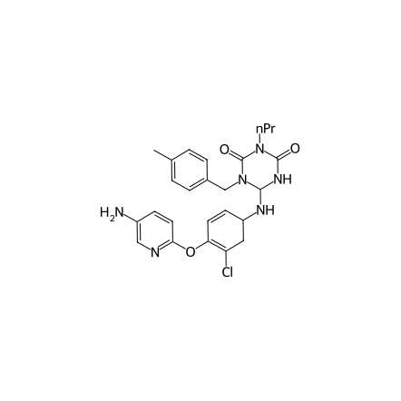 CCCN1C(=O)NC(NC2C=CC(Oc3ccc(N)cn3)=C(Cl)C2)N(Cc2ccc(C)cc2)C1=O